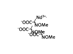 CON=C(C)C(=O)[O-].CON=C(C)C(=O)[O-].CON=C(C)C(=O)[O-].[Nd+3]